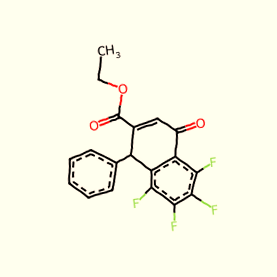 CCOC(=O)C1=CC(=O)c2c(F)c(F)c(F)c(F)c2C1c1ccccc1